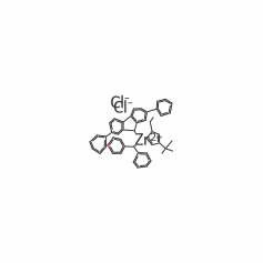 CCC1C=C(C(C)(C)C)C=[C]1[Zr+2](=[C](c1ccccc1)c1ccccc1)[CH]1c2cc(-c3ccccc3)ccc2-c2ccc(-c3ccccc3)cc21.[Cl-].[Cl-]